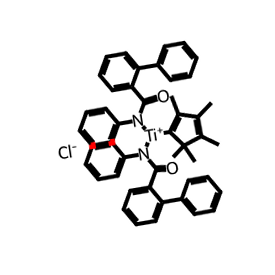 CC1=C(C)C(C)(C)[C]([Ti+]([N](C(=O)c2ccccc2-c2ccccc2)c2ccccc2)[N](C(=O)c2ccccc2-c2ccccc2)c2ccccc2)=C1C.[Cl-]